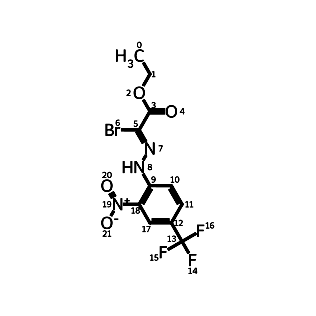 CCOC(=O)C(Br)=NNc1ccc(C(F)(F)F)cc1[N+](=O)[O-]